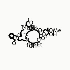 C#CCCN(C)[C@H]1C[C@@H](C)O[C@@H](O[C@@H]2[C@@H](C)[C@H](O[C@H]3C[C@@](C)(OC)[C@@H](O)[C@H](C)O3)[C@@H](C)C(=O)O[C@H](CC)[C@@](C)(O)[C@H](O)[C@@H](C)N(CCCN3C(=O)c4ccccc4C3=O)C[C@H](C)C[C@@]2(C)O)[C@@H]1O